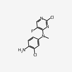 CN(c1ccc(N)c(Cl)c1)c1nc(Cl)ncc1F